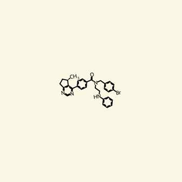 C[C@@H]1CCc2ncnc(-c3ccc(C(=O)N(CCNc4ccccc4)Cc4ccc(Br)cc4)cc3)c21